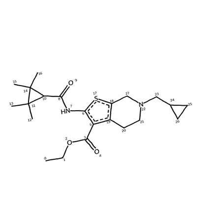 CCOC(=O)c1c(NC(=O)C2C(C)(C)C2(C)C)sc2c1CCN(CC1CC1)C2